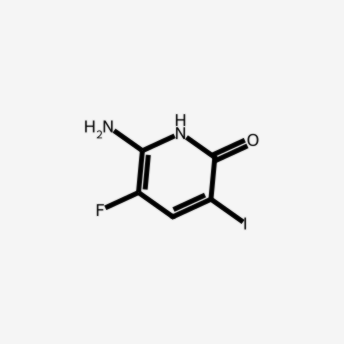 Nc1[nH]c(=O)c(I)cc1F